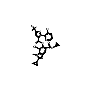 Cn1c(C2CC2)nc2cc(C(=O)NC3CC3)c(NC(=O)c3cc(C(F)(F)F)nn3-c3ncccc3Cl)c(Cl)c21